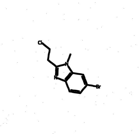 Cn1c(CCCl)nc2ccc(Br)cc21